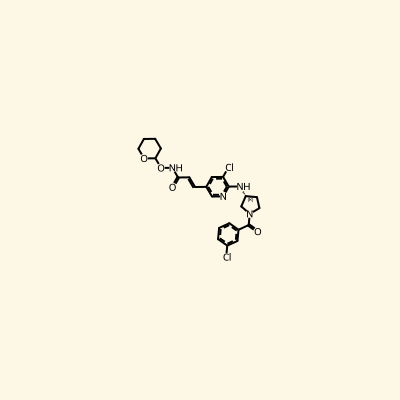 O=C(C=Cc1cnc(N[C@@H]2CCN(C(=O)c3cccc(Cl)c3)C2)c(Cl)c1)NOC1CCCCO1